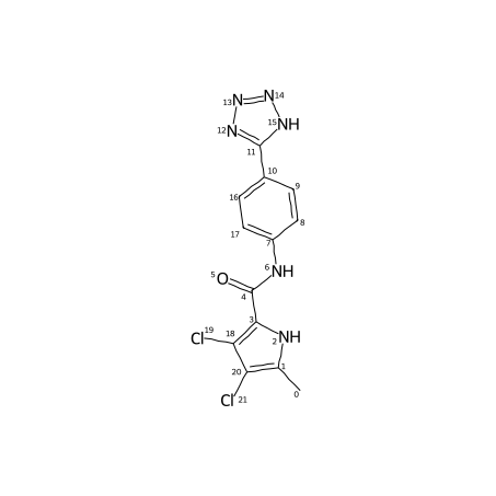 Cc1[nH]c(C(=O)Nc2ccc(-c3nnn[nH]3)cc2)c(Cl)c1Cl